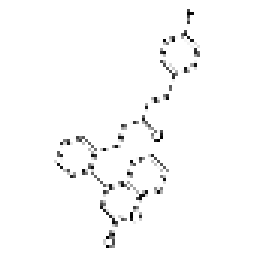 O=C(C=Cc1ccc(F)cc1)C=Cc1ccccc1-c1cc(=O)oc2ccccc12